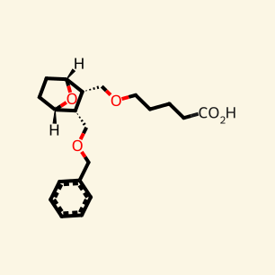 O=C(O)CCCCOC[C@@H]1[C@H](COCc2ccccc2)[C@@H]2CC[C@H]1O2